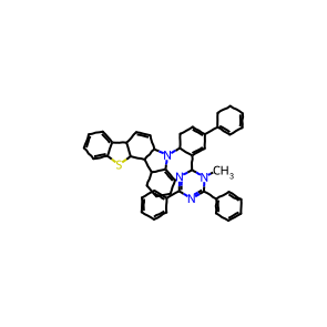 CN1C(c2ccccc2)=NC(c2ccccc2)=NC1C1=CC(C2=CC=CCC2)=CCC1N1C2=CCCCC2C2C3Sc4ccccc4C3C=CC21